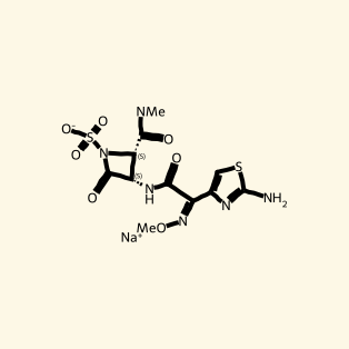 CNC(=O)[C@@H]1[C@H](NC(=O)C(=NOC)c2csc(N)n2)C(=O)N1S(=O)(=O)[O-].[Na+]